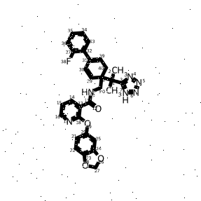 CC(C)(c1nnn[nH]1)C1(CNC(=O)c2cccnc2Oc2ccc3c(c2)OCO3)C=CC(c2ccccc2F)=CC1